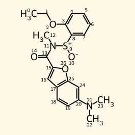 CCOc1ccccc1[S+]([O-])N(C)C(=O)c1cc2ccc(N(C)C)cc2o1